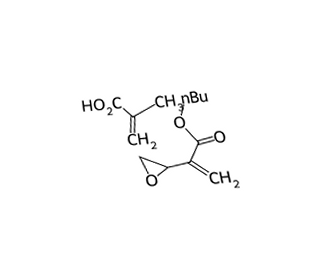 C=C(C(=O)OCCCC)C1CO1.C=C(C)C(=O)O